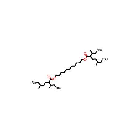 CC(CCC(C(=O)OCCCCCCCCCCCOC(=O)C(CCC(C)CC(C)(C)C)C(C)CC(C)(C)C)C(C)CC(C)(C)C)CC(C)(C)C